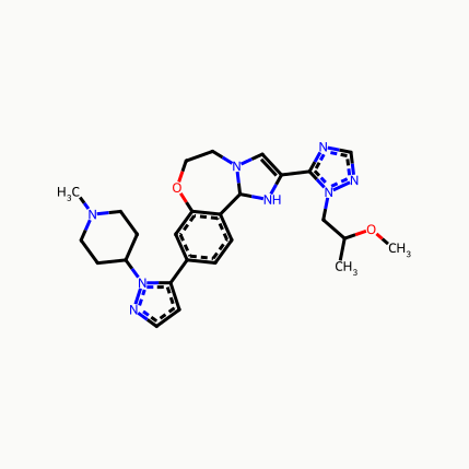 COC(C)Cn1ncnc1C1=CN2CCOc3cc(-c4ccnn4C4CCN(C)CC4)ccc3C2N1